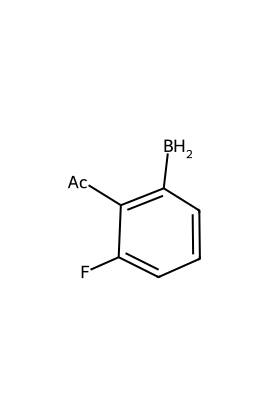 Bc1cccc(F)c1C(C)=O